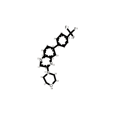 FC(F)(F)c1ccc(-c2ccc3ncc(N4CCOCC4)nc3c2)cc1